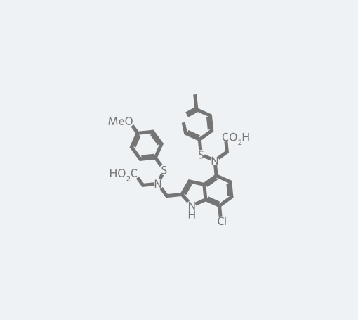 C=C(C)/C=C\C(=C/C)SN(CC(=O)O)c1ccc(Cl)c2[nH]c(CN(CC(=O)O)Sc3ccc(OC)cc3)cc12